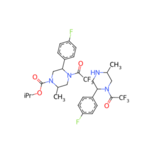 CC(C)OC(=O)N1CC(c2ccc(F)cc2)N(C(=O)C(F)(F)F)CC1C.CC1CN(C(=O)C(F)(F)F)C(c2ccc(F)cc2)CN1